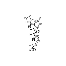 CC(=O)NCc1csc(NC(=O)Nc2ccc(C)cc2C(=O)C2CCCC2)n1